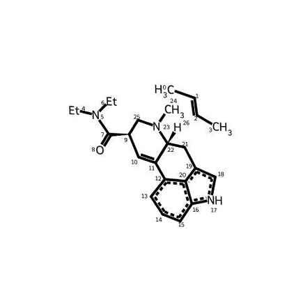 CC=CC.CCN(CC)C(=O)[C@@H]1C=C2c3cccc4[nH]cc(c34)C[C@H]2N(C)C1